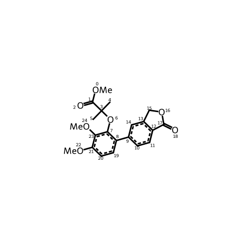 COC(=O)C(C)(C)Oc1c(-c2ccc3c(c2)COC3=O)ccc(OC)c1OC